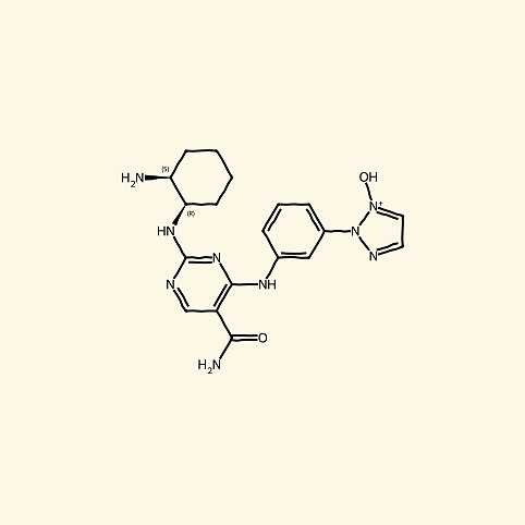 NC(=O)c1cnc(N[C@@H]2CCCC[C@@H]2N)nc1Nc1cccc(-n2ncc[n+]2O)c1